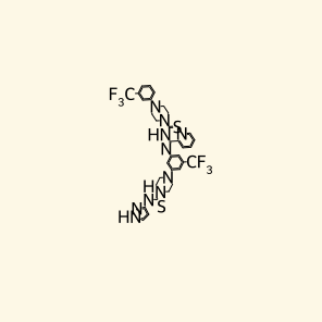 FC(F)(F)c1cccc(N2CCN(C(=S)N/C(=N/c3cc(N4CCN(C(=S)Nc5cc[nH]n5)CC4)cc(C(F)(F)F)c3)c3ccccn3)CC2)c1